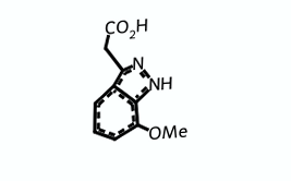 COc1cccc2c(CC(=O)O)n[nH]c12